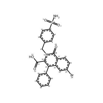 NS(=O)(=O)c1ccc(Cn2c(C(=O)O)c(-c3ccccc3)c3cc(Br)ccc3c2=O)cc1